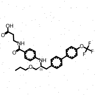 CCCOC[C@H](Cc1ccc(-c2ccc(OC(F)(F)F)cc2)cc1)Nc1ccc(C(=O)NCCC(=O)O)cc1